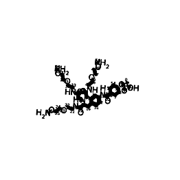 CP(=O)(O)OC1CCC(C(=O)Nc2ccc(CC(C(=O)NCCOCCON)N(CC(=O)NCCOCCON)CC(=O)NCCOCCON)cc2)CC1